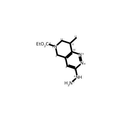 CCOC(=O)N1Cc2cc(NN)nnc2C(C)C1